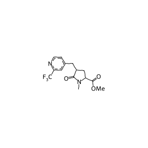 COC(=O)C1CC(Cc2ccnc(C(F)(F)F)c2)C(=O)N1C